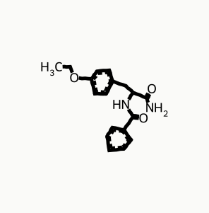 CCOc1ccc(CC(NC(=O)c2ccccc2)C(N)=O)cc1